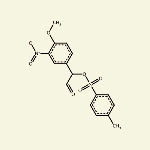 COc1ccc(C(C=O)OS(=O)(=O)c2ccc(C)cc2)cc1[N+](=O)[O-]